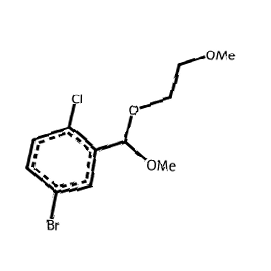 COCCOC(OC)c1cc(Br)ccc1Cl